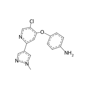 Cn1cc(-c2cc(Oc3ccc(N)cc3)c(Cl)cn2)cn1